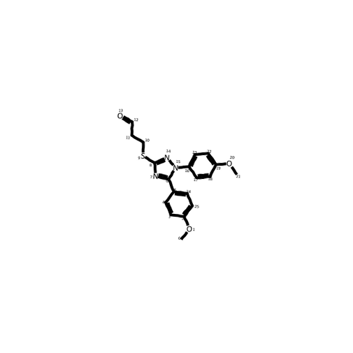 COc1ccc(-c2nc(SCCC=O)nn2-c2ccc(OC)cc2)cc1